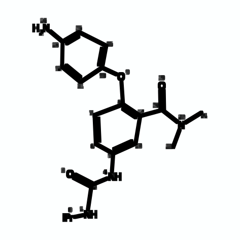 CC(C)NC(=O)Nc1ccc(Oc2ccc(N)cc2)c(C(=O)N(C)C)c1